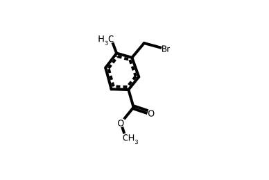 COC(=O)c1ccc(C)c(CBr)c1